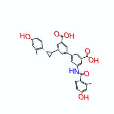 Cc1cc(O)ccc1C(=O)Nc1cc(C(=O)O)cc(-c2cc(C(=O)O)cc(C3C[C@@H]3c3ccc(O)cc3C)c2)c1